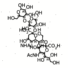 CC(=O)N[C@H]1[C@H]([C@H](O)[C@H](O)CO)O[C@@](O[C@H](CO)[C@@H](O)[C@@H]2O[C@@](O[C@H]3[C@@H](O)[C@@H](CO)O[C@@H](O[C@H]4[C@H](O)[C@@H](O)C(O)O[C@@H]4CO)[C@@H]3O)(C(=O)O)C[C@H](O)[C@H]2NC(C)=O)(C(=O)O)C[C@@H]1O